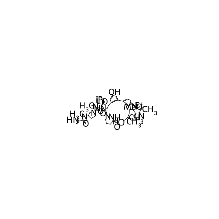 CCn1c(-c2cccnc2[C@H](C)OC)c2c3cc(ccc31)-c1cc(O)cc(c1)C[C@H](NC(=O)[C@H](C(C)C)N(C)C(=O)N1CC[C@@H](N(C)C(=O)[C@H]3CN3)C1)C(=O)N1CCC[C@H](N1)C(=O)OCC(C)(C)C2